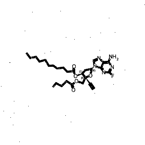 C#C[C@]1(COC(=O)CCCC)O[C@@H](n2cnc3c(N)nc(F)nc32)C[C@@H]1OC(=O)CCCCCCCCCC